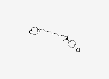 C[Si](C)(CCCCCCCN1CCOCC1)c1ccc(Cl)cc1